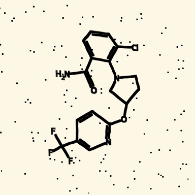 NC(=O)c1cccc(Cl)c1N1CCC(Oc2ccc(C(F)(F)F)cn2)C1